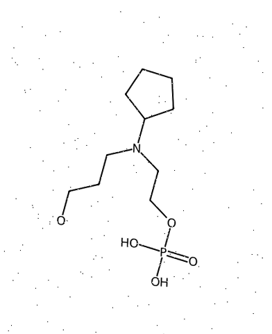 [O]CCCN(CCOP(=O)(O)O)C1CCCC1